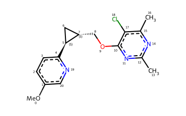 COc1ccc([C@H]2C[C@@H]2COc2nc(C)nc(C)c2Cl)nc1